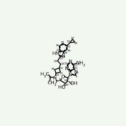 CC(C)N(C[C@H]1O[C@@H](n2cnc3c(N)ncnc32)[C@@H](O)[C@H]1O)C1CC(CCc2nc3cc(C4CC4)ccc3[nH]2)C1